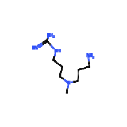 CN(CCCN)CCCNC(=N)N